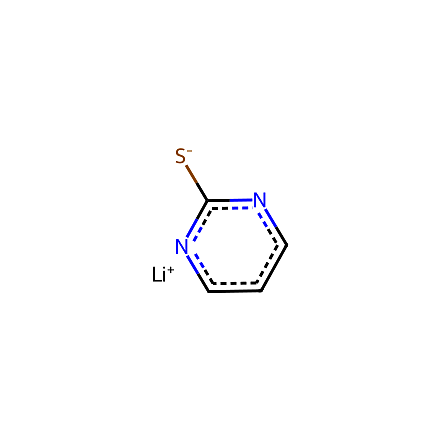 [Li+].[S-]c1ncccn1